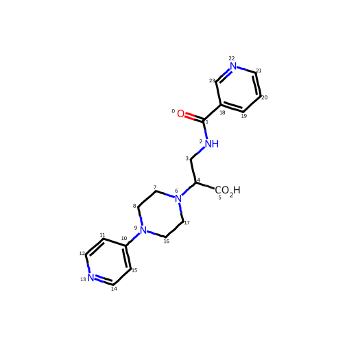 O=C(NCC(C(=O)O)N1CCN(c2ccncc2)CC1)c1cccnc1